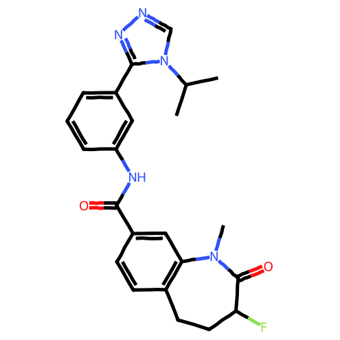 CC(C)n1cnnc1-c1cccc(NC(=O)c2ccc3c(c2)N(C)C(=O)C(F)CC3)c1